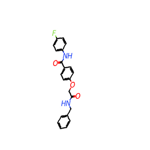 O=C(COc1ccc(C(=O)Nc2ccc(F)cc2)cc1)NCc1ccccc1